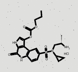 CCCOC(=O)Oc1c[nH]c2c(=O)[nH]c3ccc(S(=O)(=O)N(C[C@H](C)N)C4CC4)cc3c12.Cl